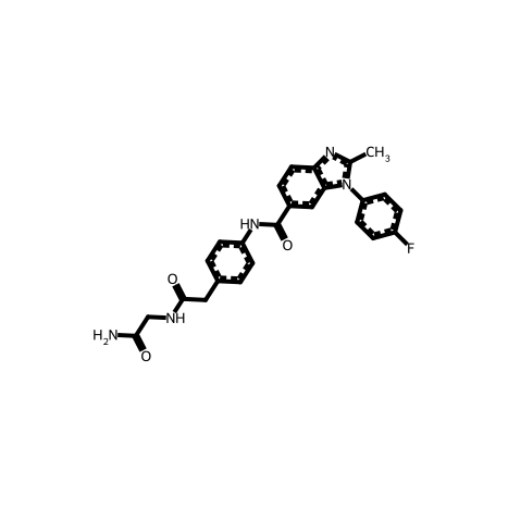 Cc1nc2ccc(C(=O)Nc3ccc(CC(=O)NCC(N)=O)cc3)cc2n1-c1ccc(F)cc1